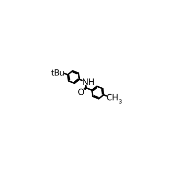 Cc1ccc(C(=O)Nc2ccc(C(C)(C)C)cc2)cc1